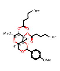 CCCCCCCCCCCCCC(=O)O[C@@H]1[C@@H](OC(=O)CCCCCCCCCCCCC)[C@@H](OC)O[C@@H]2COC(c3ccc(OC)cc3)O[C@@H]12